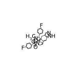 CN(C)[C@@H](c1ccc(F)cc1)C12Cc3cn[nH]c3C=C1CCN(S(=O)(=O)c1ccc(F)cc1)C2